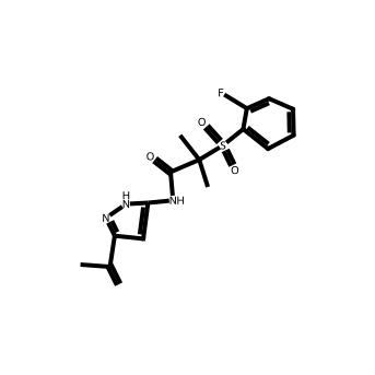 C=C(C)c1cc(NC(=O)C(C)(C)S(=O)(=O)c2ccccc2F)[nH]n1